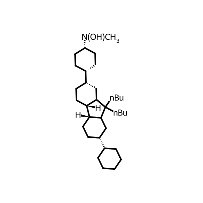 CCCCC1(CCCC)C2C[C@@H]([C@H]3CC[C@@H](N(C)O)CC3)CC[C@H]2[C@H]2CC[C@@H](C3CCCCC3)CC21